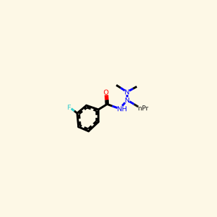 CCCN(NC(=O)c1cccc(F)c1)N(C)C